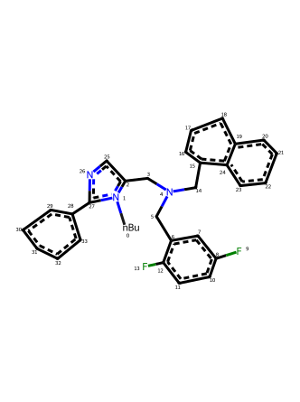 CCCCn1c(CN(Cc2cc(F)ccc2F)Cc2cccc3ccccc23)cnc1-c1ccccc1